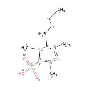 CCC[SiH2]c1c(C)cc(C)c(S(=O)(=O)O)c1C